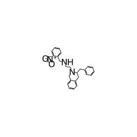 O=[N+]([O-])c1ccccc1CNCCN1Cc2ccccc2CC1Cc1ccccc1